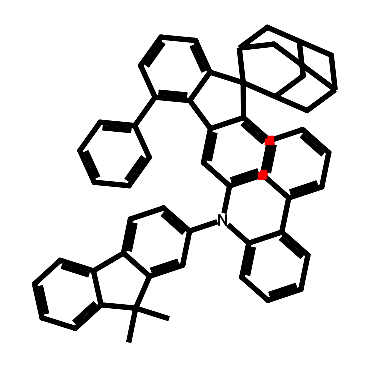 CC1(C)c2ccccc2-c2ccc(N(c3ccc4c(c3)-c3c(-c5ccccc5)cccc3C43C4CC5CC(C4)CC3C5)c3ccccc3-c3ccccc3)cc21